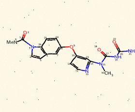 CNC(=O)n1ccc2cc(Oc3ccnc(N(C)C(=O)NC(N)=O)c3)ccc21